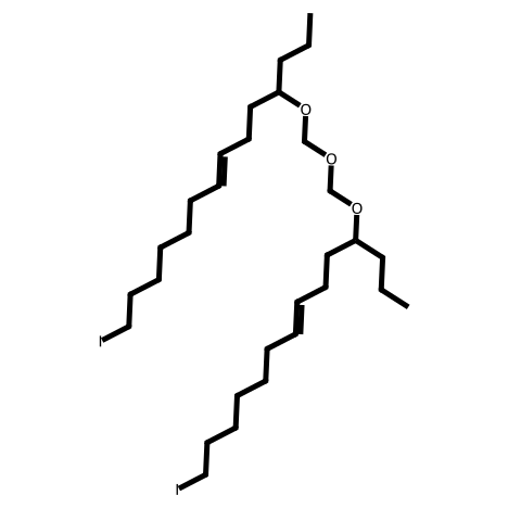 CCCC(CCC=CCCCCCCI)OCOCOC(CCC)CCC=CCCCCCCI